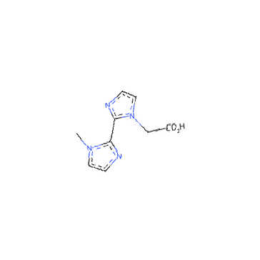 Cn1ccnc1-c1nccn1CC(=O)O